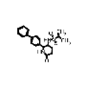 CC(C)S(=O)(=O)NC1CCC(=O)NC1c1ccc(-c2ccccc2)cc1